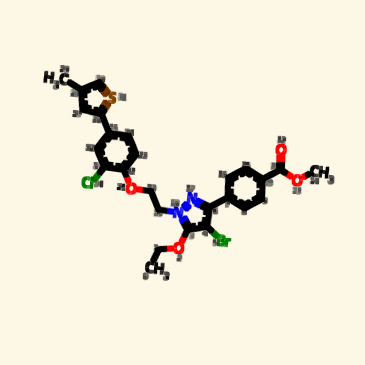 CCOc1c(Br)c(-c2ccc(C(=O)OC)cc2)nn1CCOc1ccc(-c2cc(C)cs2)cc1Cl